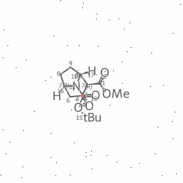 COC(=O)[C@H]1C(=O)C[C@H]2CC[C@H]1N2C(=O)OC(C)(C)C